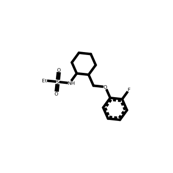 CCS(=O)(=O)NC1CCCCC1COc1ccccc1F